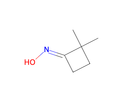 CC1(C)CCC1=NO